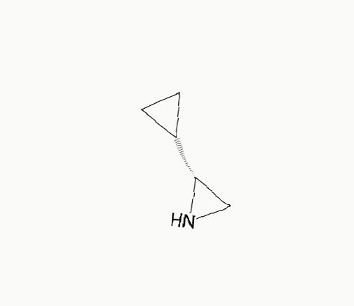 C1CC1[C@@H]1CN1